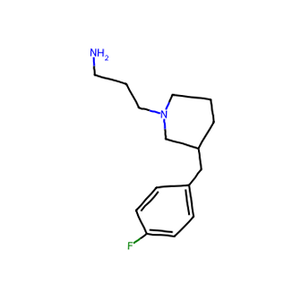 NCCCN1CCCC(Cc2ccc(F)cc2)C1